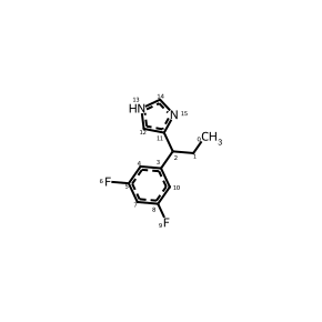 CCC(c1cc(F)cc(F)c1)c1c[nH]cn1